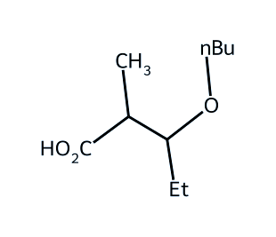 CCCCOC(CC)C(C)C(=O)O